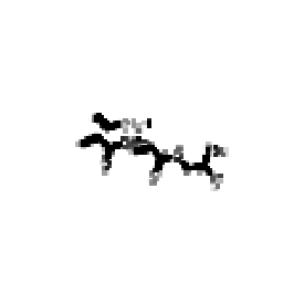 C=CC(=O)OC.C=CC(=O)OCC.C=CC(=O)OCC(CC)CCCC